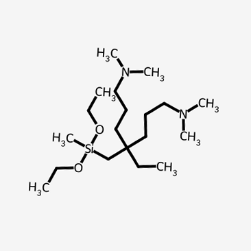 CCO[Si](C)(CC(CC)(CCCN(C)C)CCCN(C)C)OCC